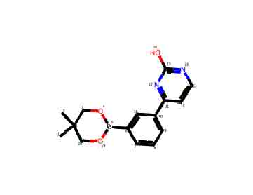 CC1(C)COB(c2cccc(-c3ccnc(O)n3)c2)OC1